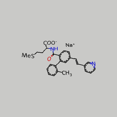 CSCC[C@H](NC(=O)c1ccc(C=Cc2cccnc2)cc1-c1ccccc1C)C(=O)[O-].[Na+]